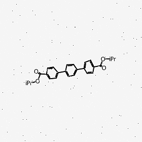 CC(C)OC(=O)c1ccc(-c2ccc(-c3ccc(C(=O)OC(C)C)cc3)cc2)cc1